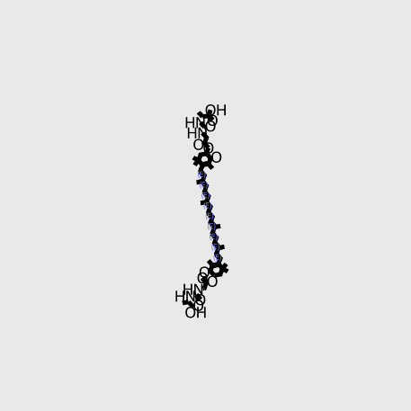 CC1=C(/C=C/C(C)=C/C=C/C(C)=C/C=C/C=C(C)/C=C/C=C(C)/C=C/C2=C(C)C(=O)C(OC(=O)CNC(=O)NC(C)C(=O)O)CC2(C)C)C(C)(C)CC(OC(=O)CNC(=O)NC(C)C(=O)O)C1=O